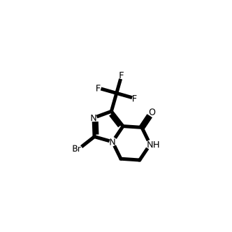 O=C1NCCn2c(Br)nc(C(F)(F)F)c21